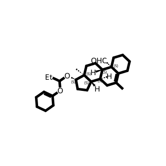 CCC(OC1=CCCCC1)O[C@H]1CC[C@H]2[C@@H]3CC(C)=C4CCCC[C@]4(C=O)[C@H]3CC[C@]12C